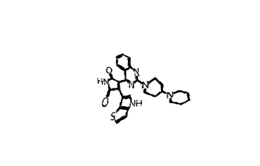 O=C1NC(=O)C(c2c[nH]c3ccsc23)=C1c1nc(N2CCC(N3CCCCC3)CC2)nc2ccccc12